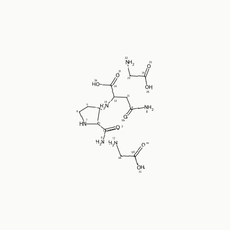 NC(=O)C1CCCN1.NC(=O)CC(N)C(=O)O.NCC(=O)O.NCC(=O)O